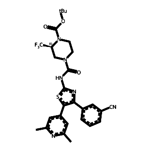 Cc1cc(-c2sc(NC(=O)N3CCN(C(=O)OC(C)(C)C)[C@H](C(F)(F)F)C3)nc2-c2cccc(C#N)c2)cc(C)n1